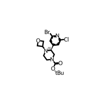 CC(C)(C)OC(=O)N1CCN(C2COC2)[C@@H](c2cc(Cl)nc(Br)c2)C1